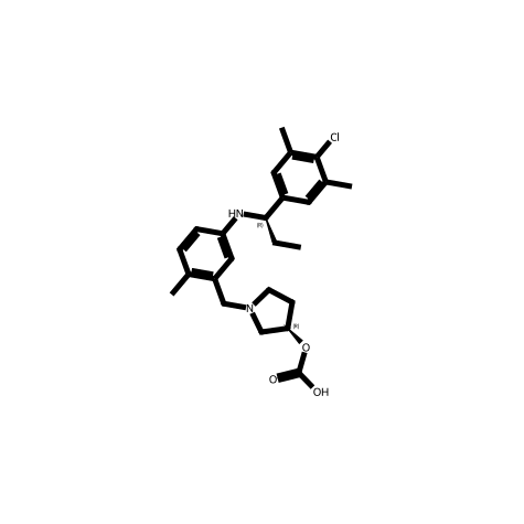 CC[C@@H](Nc1ccc(C)c(CN2CC[C@@H](OC(=O)O)C2)c1)c1cc(C)c(Cl)c(C)c1